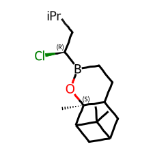 CC(C)C[C@H](Cl)B1CCC2CC3CC(C3(C)C)[C@@]2(C)O1